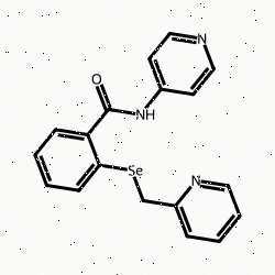 O=C(Nc1ccncc1)c1ccccc1[Se]Cc1ccccn1